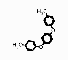 Cc1ccc(Oc2ccc(OC3=CC[C@H](C)C=C3)cc2)cc1